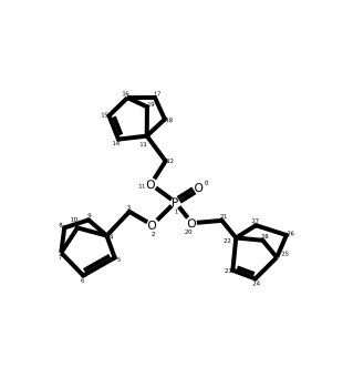 O=P(OCC12C=CC(CC1)C2)(OCC12C=CC(CC1)C2)OCC12C=CC(CC1)C2